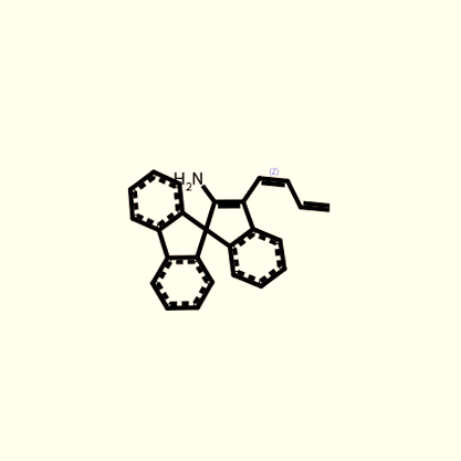 C=C/C=C\C1=C(N)C2(c3ccccc31)c1ccccc1-c1ccccc12